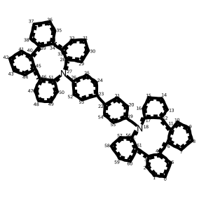 c1ccc2c(c1)c1ccccc1c1ccccc1n(-c1ccc(-c3ccc(-n4c5ccccc5c5ccccc5c5ccccc5c5ccccc54)cc3)cc1)c1ccccc21